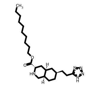 CCCCCCCCCCOC(=O)[C@@H]1C[C@H]2C[C@@H](CCc3nnn[nH]3)CC[C@H]2CN1